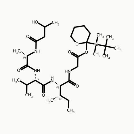 CC[C@H](C)[C@H](NC(=O)[C@@H](NC(=O)[C@H](C)NC(=O)CC(C)O)C(C)C)C(=O)NCC(=O)OC1([Si](C)(C)C(C)(C)C)CCCCO1